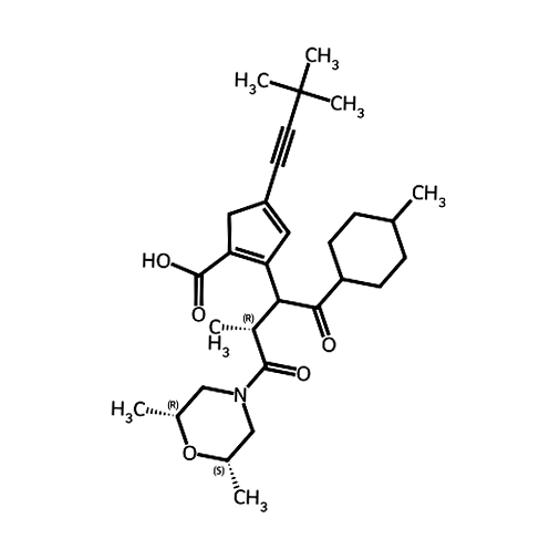 CC1CCC(C(=O)C(C2=C(C(=O)O)CC(C#CC(C)(C)C)=C2)[C@@H](C)C(=O)N2C[C@@H](C)O[C@@H](C)C2)CC1